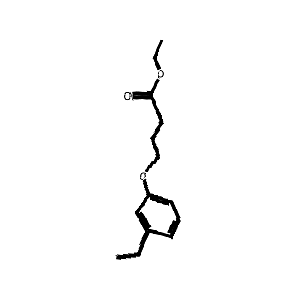 CCOC(=O)CCCOc1cccc(CC)c1